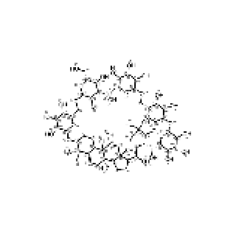 C[C@H](CC[C@@H](O[C@@H]1O[C@H](CO[C@H]2O[C@H](CO)[C@@H](O)[C@H](O)[C@H]2O)[C@@H](O)[C@H](O)[C@H]1O[C@H]1O[C@@H](CO)[C@H](O)[C@@H](O)[C@@H]1O)C(C)(C)O)C1CC[C@@]2(C)C3CC=C4C(CC[C@H](O[C@@H]5O[C@H](CO[C@H]6O[C@H](CO)[C@@H](O)[C@H](O)[C@H]6O)[C@@H](O)[C@H](O)[C@H]5O)C4(C)C)[C@]3(C)[C@H](O)C[C@]12C